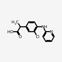 CC(C(=O)O)c1ccc(Nc2ccccn2)c(Cl)c1